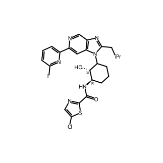 CC(C)Cc1nc2cnc(-c3cccc(F)n3)cc2n1C1CCC[C@@H](NC(=O)c2ncc(Cl)s2)[C@@H]1O